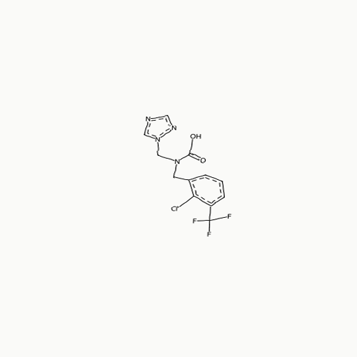 O=C(O)N(Cc1cccc(C(F)(F)F)c1Cl)Cn1cncn1